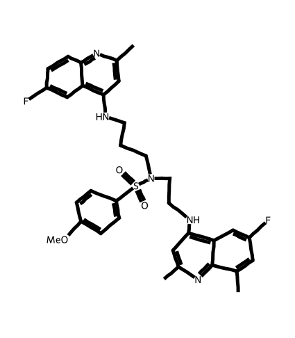 COc1ccc(S(=O)(=O)N(CCCNc2cc(C)nc3ccc(F)cc23)CCNc2cc(C)nc3c(C)cc(F)cc23)cc1